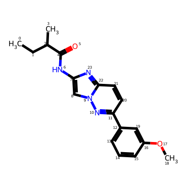 CCC(C)C(=O)Nc1cn2nc(-c3cccc(OC)c3)ccc2n1